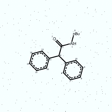 CCC[CH2][AlH][C](=O)C(c1ccccc1)c1ccccc1